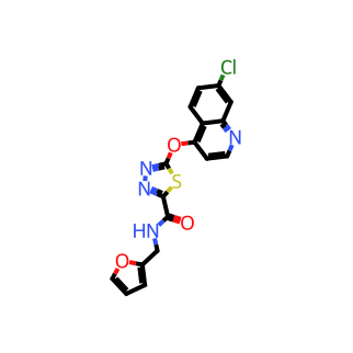 O=C(NCc1ccco1)c1nnc(Oc2ccnc3cc(Cl)ccc23)s1